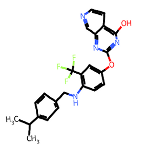 CC(C)c1ccc(CNc2ccc(Oc3nc(O)c4ccncc4n3)cc2C(F)(F)F)cc1